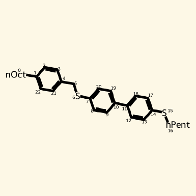 CCCCCCCCc1ccc(CSc2ccc(-c3ccc(SCCCCC)cc3)cc2)cc1